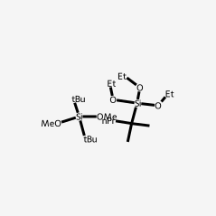 CCCC(C)(C)[Si](OCC)(OCC)OCC.CO[Si](OC)(C(C)(C)C)C(C)(C)C